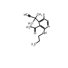 C#CC(C)(C)c1c(F)cnc(NCCC(F)(F)F)c1C(N)=O